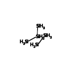 [SiH3][SiH2][SiH3].[SiH3][SiH3]